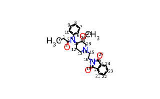 CCC(=O)N(c1ccccc1)C1CCN(CCN2C(=O)c3ccccc3C2=O)CC1OC